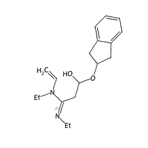 C=CN(CC)/C(CC(O)OC1Cc2ccccc2C1)=N/CC